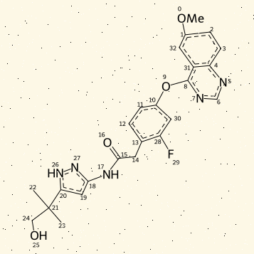 COc1ccc2ncnc(Oc3ccc(CC(=O)Nc4cc(C(C)(C)CO)[nH]n4)c(F)c3)c2c1